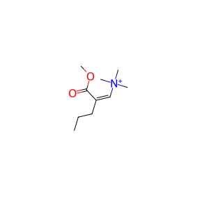 CCCC(=C[N+](C)(C)C)C(=O)OC